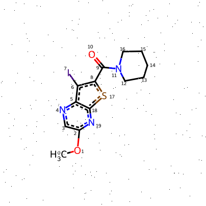 COc1cnc2c(I)c(C(=O)N3CCCCC3)sc2n1